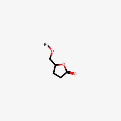 CCOCC1CCC(=O)O1